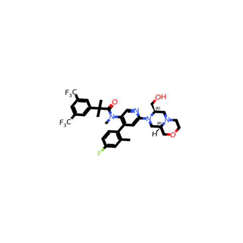 Cc1cc(F)ccc1-c1cc(N2C[C@@H]3COCCN3C[C@@H]2CO)ncc1N(C)C(=O)C(C)(C)c1cc(C(F)(F)F)cc(C(F)(F)F)c1